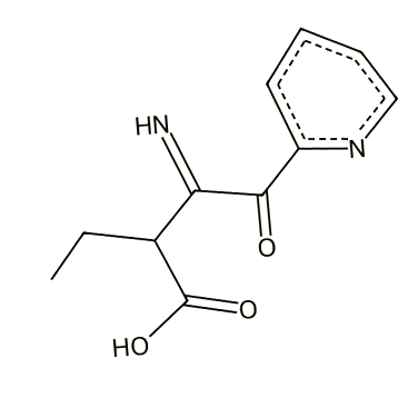 CCC(C(=N)C(=O)c1ccccn1)C(=O)O